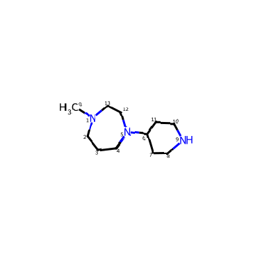 CN1CCCN(C2CCNCC2)CC1